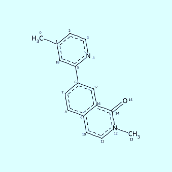 Cc1ccnc(-c2ccc3ccn(C)c(=O)c3c2)c1